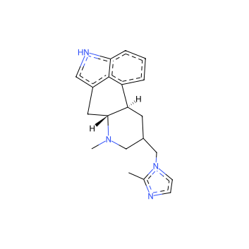 Cc1nccn1CC1C[C@@H]2c3cccc4[nH]cc(c34)C[C@H]2N(C)C1